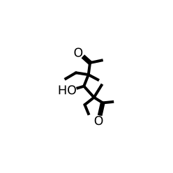 CCC(C)(C(C)=O)C(O)C(C)(CC)C(C)=O